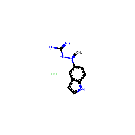 C=[N+](NC(=N)N)c1ccc2[nH]ccc2c1.Cl